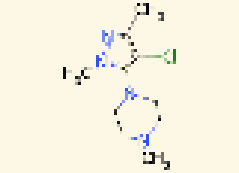 Cc1nn(C)c(N2CCN(C)CC2)c1Cl